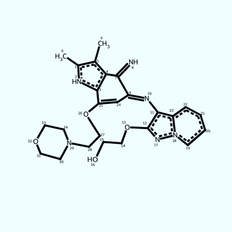 Cc1[nH]c2c(c1C)C(=N)C(=Nc1c(OCCO)nn3ccccc13)C=C2OCCN1CCOCC1